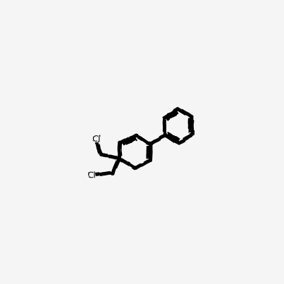 ClCC1(CCl)C=CC(c2ccccc2)=CC1